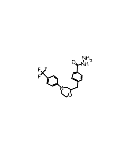 NNC(=O)c1ccc(CC2CN(c3ccc(C(F)(F)F)cc3)CCO2)cc1